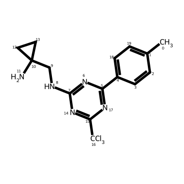 Cc1ccc(-c2nc(NCC3(N)CC3)nc(C(Cl)(Cl)Cl)n2)cc1